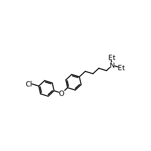 CCN(CC)CCCCc1ccc(Oc2ccc(Cl)cc2)cc1